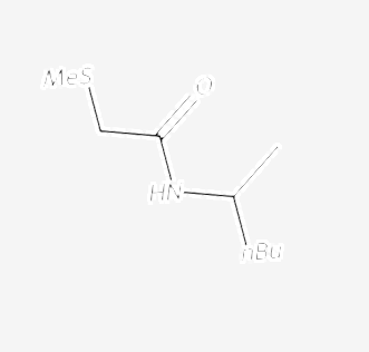 CCCCC(C)NC(=O)CSC